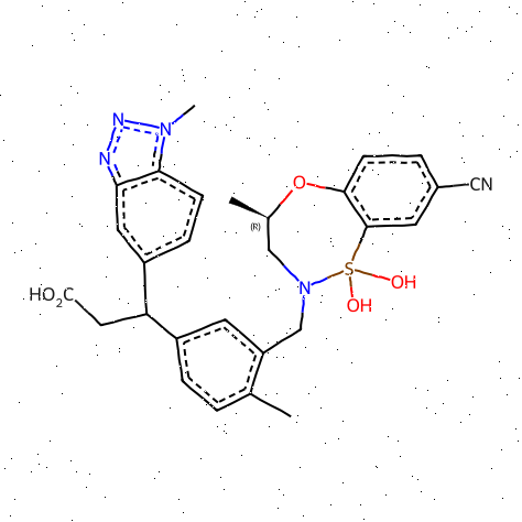 Cc1ccc(C(CC(=O)O)c2ccc3c(c2)nnn3C)cc1CN1C[C@@H](C)Oc2ccc(C#N)cc2S1(O)O